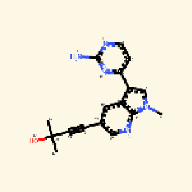 Cn1cc(-c2ccnc(N)n2)c2cc(C#CC(C)(C)O)cnc21